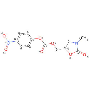 CN1C[C@@H](COC(=O)Oc2ccc([N+](=O)[O-])cc2)OC1=O